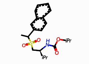 CC(C)OC(=O)N[C@H](CS(=O)(=O)C(C)c1ccc2ccccc2c1)C(C)C